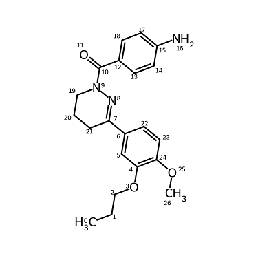 CCCOc1cc(C2=NN(C(=O)c3ccc(N)cc3)CCC2)ccc1OC